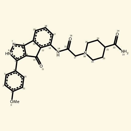 COc1ccc(-c2[nH]nc3c2C(=O)c2c(NC(=O)CN4CCC(C(N)=O)CC4)cccc2-3)cc1